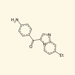 CCc1ccn2c(C(=O)c3ccc(N)cc3)cnc2c1